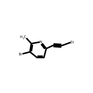 CCC#Cc1ccc(Br)c(C)n1